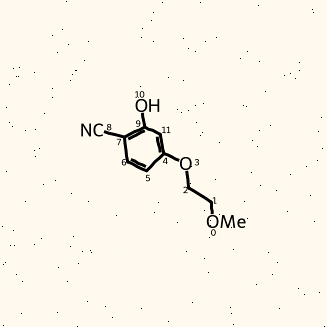 COCCOc1ccc(C#N)c(O)c1